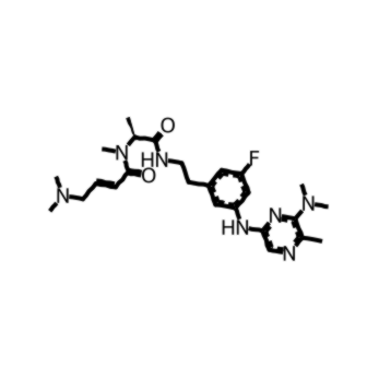 Cc1ncc(Nc2cc(F)cc(CCNC(=O)[C@H](C)N(C)C(=O)/C=C/CN(C)C)c2)nc1N(C)C